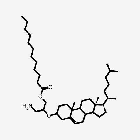 CCCCCCCCCCCC(=O)OCC(CN)OC1CC[C@@]2(C)C(=CCC3C2CC[C@@]2(C)C3CC[C@@H]2[C@H](C)CCCC(C)C)C1